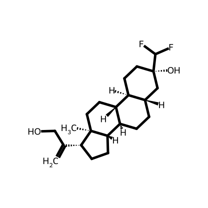 C=C(CO)[C@H]1CC[C@H]2[C@@H]3CC[C@H]4C[C@](O)(C(F)F)CC[C@@H]4[C@H]3CC[C@]12C